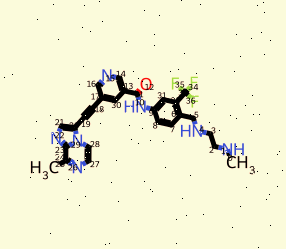 CNCCNCc1ccc(NC(=O)c2cncc(C#Cc3cnc4c(C)nccn34)c2)cc1C(F)(F)F